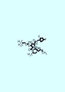 COC1=NO[C@@]2(CC[C@H](C)N3C[C@H]2n2cc(C(=O)NCc4ccc(F)cc4F)c(=O)c(OC(=O)OCC(C)C)c2C3=O)C1